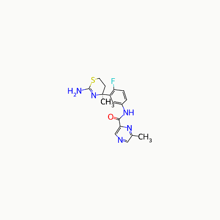 Cc1cncc(C(=O)Nc2ccc(F)c([C@]3(C)CCSC(N)=N3)c2)n1